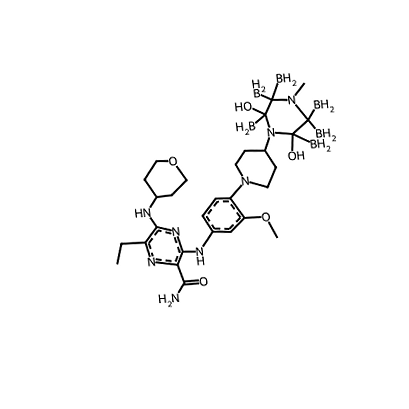 BC1(B)N(C)C(B)(B)C(B)(O)N(C2CCN(c3ccc(Nc4nc(NC5CCOCC5)c(CC)nc4C(N)=O)cc3OC)CC2)C1(B)O